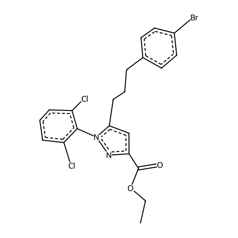 CCOC(=O)c1cc(CCCc2ccc(Br)cc2)n(-c2c(Cl)cccc2Cl)n1